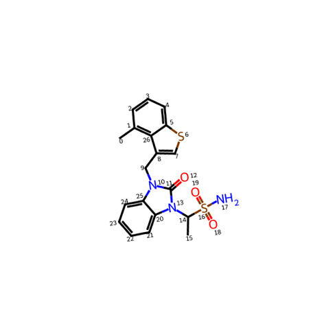 Cc1cccc2scc(Cn3c(=O)n(C(C)S(N)(=O)=O)c4ccccc43)c12